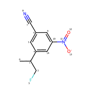 C[C](CF)c1cc(C#N)cc([N+](=O)[O-])c1